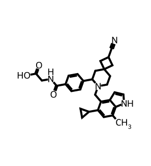 Cc1cc(C2CC2)c(CN2CCC3(CC(C#N)C3)CC2c2ccc(C(=O)NCC(=O)O)cc2)c2cc[nH]c12